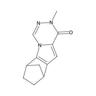 Cn1ncn2c3c(cc2c1=O)C1CCC3C1